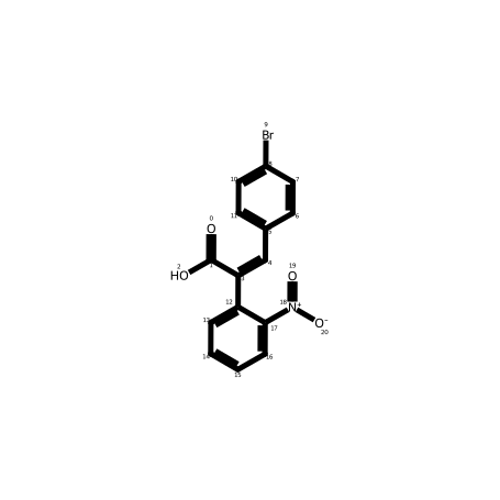 O=C(O)C(=Cc1ccc(Br)cc1)c1ccccc1[N+](=O)[O-]